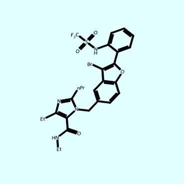 CCCc1nc(CC)c(C(=O)NCC)n1Cc1ccc2oc(-c3ccccc3NS(=O)(=O)C(F)(F)F)c(Br)c2c1